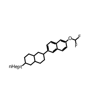 CCCCCCCC1CCC2CC(c3ccc4cc(OC(F)F)ccc4c3)CCC2C1